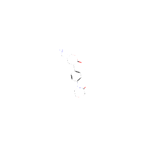 Cl.NC[C@H]1COC(=O)C(c2ccc(N3CCOCC3=O)cc2)C1